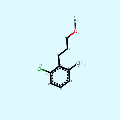 CCOCCCc1c(C)cccc1Cl